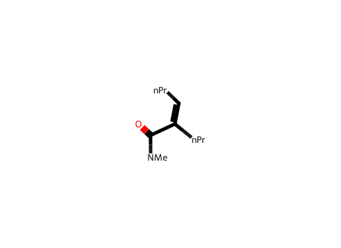 CCCC=C(CCC)C(=O)NC